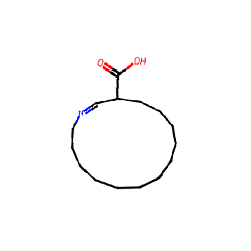 O=C(O)C1C=NCCCCCCCCCCCC1